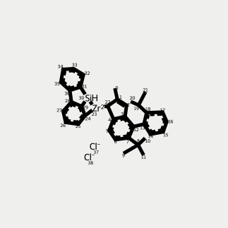 CC1=Cc2c(ccc(C(C)(C)C)c2-c2ccccc2C(C)C)[CH]1[Zr+2]1[c]2cccc3c2[SiH]1c1ccccc1-3.[Cl-].[Cl-]